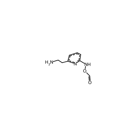 NCCc1cccc(NOC=O)n1